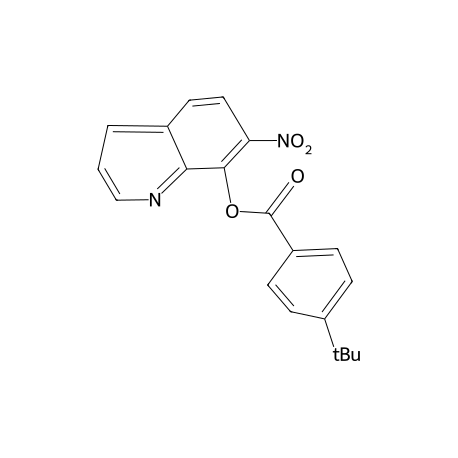 CC(C)(C)c1ccc(C(=O)Oc2c([N+](=O)[O-])ccc3cccnc23)cc1